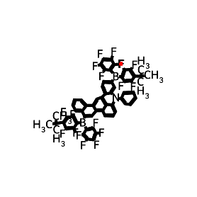 CC(C)(C)c1c(F)c(F)c(B(c2ccc3c(c2)N(c2ccccc2)c2cccc4c2c-3cc2c3ccccc3c(B(c3c(F)c(F)c(F)c(F)c3F)c3c(F)c(F)c(C(C)(C)C)c(F)c3F)cc42)c2c(F)c(F)c(F)c(F)c2F)c(F)c1F